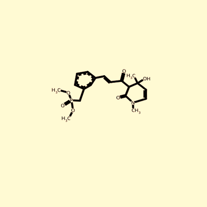 COP(=O)(Cc1cccc(C=CC(=O)C2C(=O)N(C)C=CC2(C)O)c1)OC